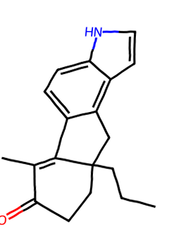 CCCC12CCC(=O)C(C)=C1c1ccc3[nH]ccc3c1C2